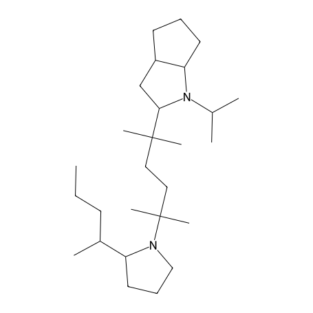 CCCC(C)C1CCCN1C(C)(C)CCC(C)(C)C1CC2CCCC2N1C(C)C